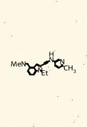 CCn1c(C#CNc2ccc(C)nc2)cc2c(CNC)cccc21